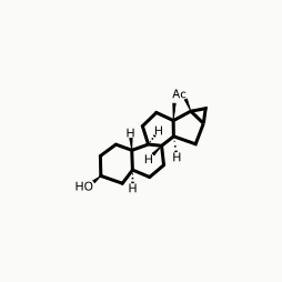 CC(=O)[C@@]12CC1C[C@H]1[C@@H]3CC[C@H]4C[C@@H](O)CC[C@@H]4[C@H]3CC[C@@]12C